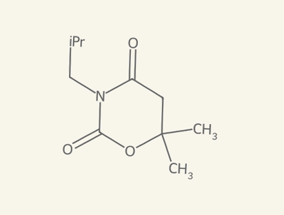 CC(C)CN1C(=O)CC(C)(C)OC1=O